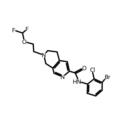 O=C(Nc1cccc(Br)c1Cl)c1cc2c(cn1)CN(CCOC(F)F)CC2